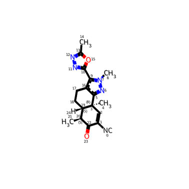 [C-]#[N+]C1=C[C@]2(C)c3nn(C)c(-c4nnc(C)o4)c3CC[C@H]2[C@H](C)C1=O